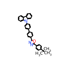 CC(C)(C)c1ccc(-c2nnc(-c3ccc(-c4ccc(-n5c6ccccc6c6ccccc65)cc4)cc3)o2)cc1